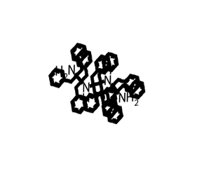 NC(Cc1ccccc1)(Cc1ccccc1)C(Cc1ccccc1)(Cc1ccccc1)NC(Cc1ccccc1)(Cc1ccccc1)C(Cc1ccccc1)(Cc1ccccc1)NC(Cc1ccccc1)(Cc1ccccc1)C(N)(Cc1ccccc1)Cc1ccccc1